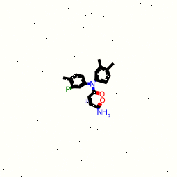 Cc1ccc(N(C(=O)/C=C\C(N)=O)c2ccc(C)c(F)c2)cc1C